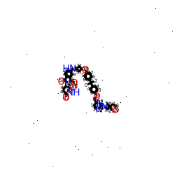 CC(C)(c1ccc(OCc2ccnc(N3CC4(CCOC4)C3)n2)cc1)c1ccc(OC2CC(Nc3ccc4c(c3)C(=O)N(C3CCC(=O)NC3=O)C4=O)C2)cc1